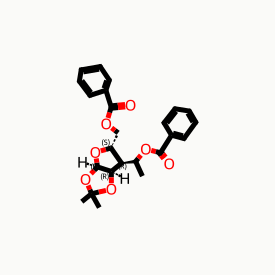 CC(OC(=O)c1ccccc1)[C@H]1[C@H]2OC(C)(C)O[C@H]2O[C@@H]1COC(=O)c1ccccc1